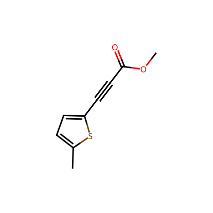 COC(=O)C#Cc1ccc(C)s1